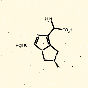 Cl.Cl.NC(C(=O)O)c1ncn2c1C[C@@H](F)C2